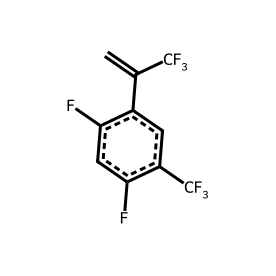 C=C(c1cc(C(F)(F)F)c(F)cc1F)C(F)(F)F